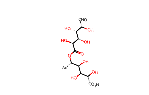 CC(=O)[C@H](OC(=O)[C@@H](O)[C@@H](O)[C@H](O)[C@@H](O)C=O)[C@@H](O)[C@H](O)[C@H](O)C(=O)O